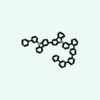 c1ccc(-c2cccc(-c3cccc(-c4ccc(-c5ccccc5-c5cccc(-n6c7ccccc7c7cc(-c8ccc9c(c8)c8ccccc8n9-c8cccc(-c9ccccc9)c8)ccc76)c5)cc4)c3)c2)cc1